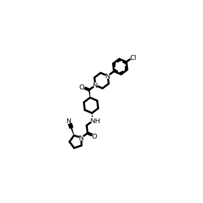 N#C[C@@H]1CCCN1C(=O)CN[C@H]1CC[C@H](C(=O)N2CCN(c3ccc(Cl)cc3)CC2)CC1